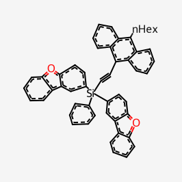 CCCCCCc1c2ccccc2c(C#C[Si](c2ccccc2)(c2ccc3oc4ccccc4c3c2)c2ccc3oc4ccccc4c3c2)c2ccccc12